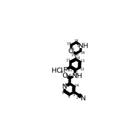 Cl.N#Cc1ccnc(C(=O)Nc2ccc([C@H]3CNCCO3)cc2F)c1